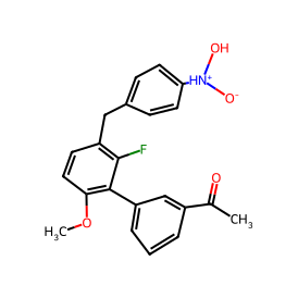 COc1ccc(Cc2ccc([NH+]([O-])O)cc2)c(F)c1-c1cccc(C(C)=O)c1